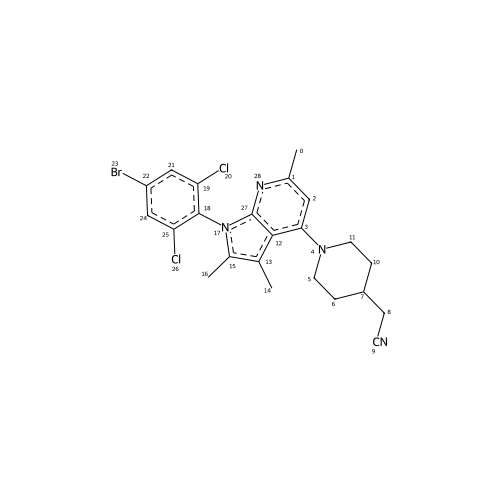 Cc1cc(N2CCC(CC#N)CC2)c2c(C)c(C)n(-c3c(Cl)cc(Br)cc3Cl)c2n1